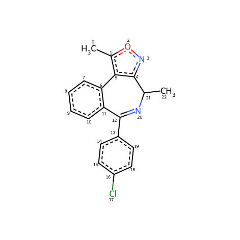 Cc1onc2c1-c1ccccc1C(c1ccc(Cl)cc1)=NC2C